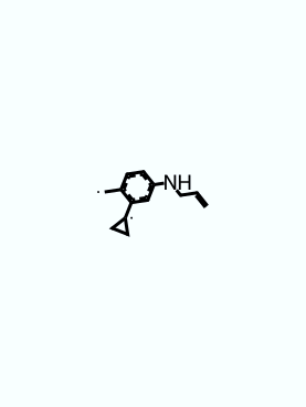 [CH2]c1ccc(NCC=C)cc1[C]1CC1